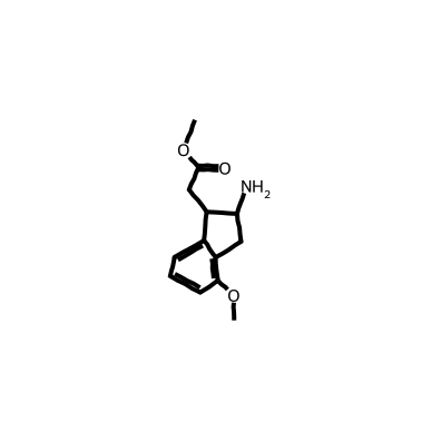 COC(=O)CC1c2cccc(OC)c2CC1N